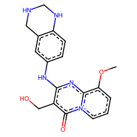 COc1cccn2c(=O)c(CO)c(Nc3ccc4c(c3)CNCN4)nc12